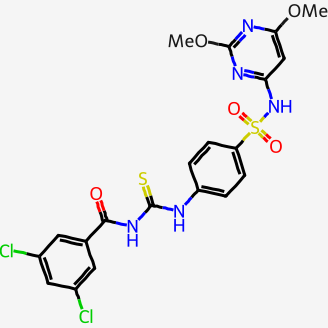 COc1cc(NS(=O)(=O)c2ccc(NC(=S)NC(=O)c3cc(Cl)cc(Cl)c3)cc2)nc(OC)n1